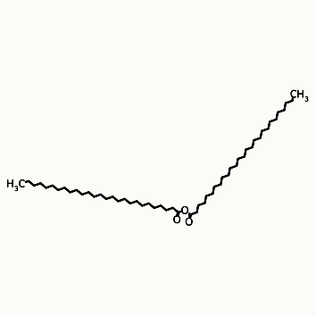 CCCCCCCCCCCCCCCCCCCCCCCCCCC(=O)OC(=O)CCCCCCCCCCCCCCCCCCCCCCCCCC